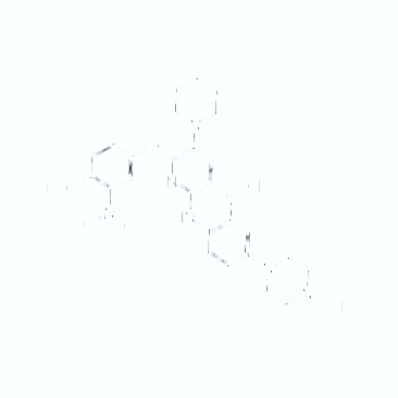 COc1cc(N2CCN(C)CC2)ccc1Nc1ccc(N2CCCCC2)c(Oc2ccc(C)c([N+](=O)[O-])c2)n1